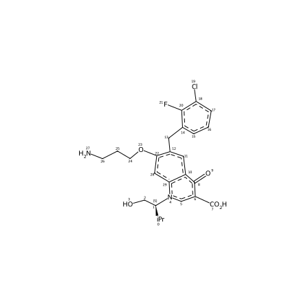 CC(C)[C@@H](CO)n1cc(C(=O)O)c(=O)c2cc(Cc3cccc(Cl)c3F)c(OCCCN)cc21